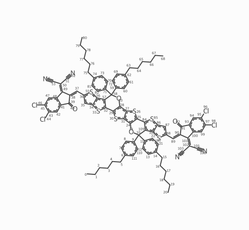 CCCCCCc1ccc(C2(c3ccc(CCCCCC)cc3)Oc3c(sc4c5c(sc34)-c3sc4cc(/C=C6\C(=O)c7cc(Cl)c(Cl)cc7C6=C(C#N)C#N)sc4c3C(c3ccc(CCCCCC)cc3)(c3ccc(CCCCCC)cc3)O5)-c3sc4cc(/C=C5\C(=O)c6cc(Cl)c(Cl)cc6C5=C(C#N)C#N)sc4c32)cc1